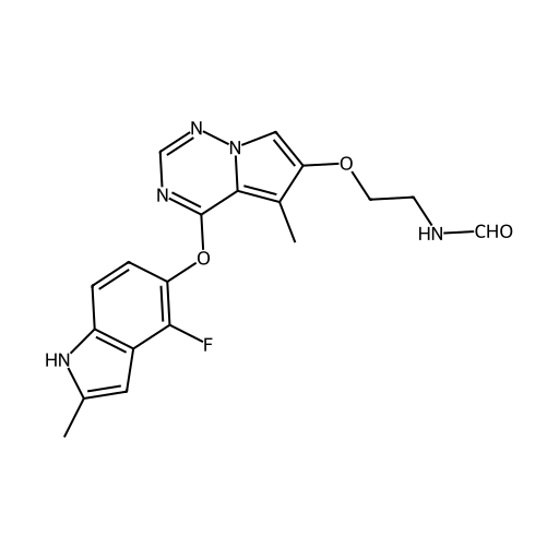 Cc1cc2c(F)c(Oc3ncnn4cc(OCCNC=O)c(C)c34)ccc2[nH]1